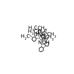 C=Cc1cccc(C(NC(=O)OC(C)(C)C)C(N=C2c3ccccc3-c3ccccc32)P(=O)(O)OC(C)(C)C(C)C)c1